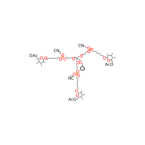 [C-]#[N+]CCOP(OCCCCCCO[C@@H]1OC(COC(C)=O)[C@H](C)[C@H](C)C1C)OCCCOCC(COCCCOP(OCCCCCCO[C@@H]1OC(COC(C)=O)[C@H](C)[C@H](C)C1C)OCC[N+]#[C-])(COCCCOP(OCCCCCCO[C@@H]1OC(COC(C)=O)[C@H](C)[C@H](C)C1C)OCC[N+]#[C-])COCc1ccccc1